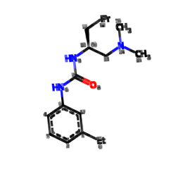 CCc1cccc(NC(=O)N[C@@H](CC(C)C)CN(C)C)c1